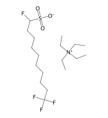 CC[N+](CC)(CC)CC.O=S(=O)([O-])C(F)CCCCCCCCC(F)(F)F